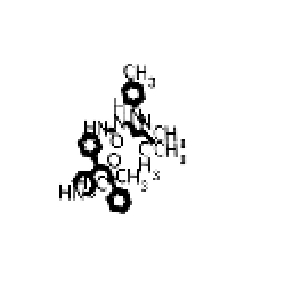 Cc1ccc(-n2nc(C(C)(C)C)cc2NC(=O)Nc2cccc(C(C(=O)C(C)(C)c3ccccc3)C3CCNCC3)c2)cc1